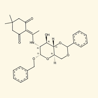 CC(N[C@H]1[C@@H](OCc2ccccc2)O[C@@H]2COC(c3ccccc3)O[C@H]2[C@@H]1O)=C1C(=O)CC(C)(C)CC1=O